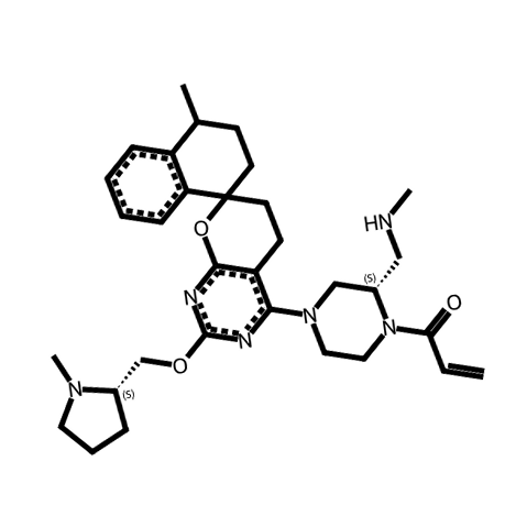 C=CC(=O)N1CCN(c2nc(OC[C@@H]3CCCN3C)nc3c2CCC2(CCC(C)c4ccccc42)O3)C[C@@H]1CNC